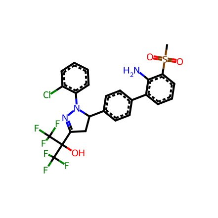 CS(=O)(=O)c1cccc(-c2ccc(C3CC(C(O)(C(F)(F)F)C(F)(F)F)=NN3c3ccccc3Cl)cc2)c1N